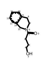 O=C(CCCO)N1CCc2ccccc2C1